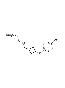 CCOC(=O)CCNC[C@H]1C[C@H](Oc2ccc(C(F)(F)F)cc2)C1